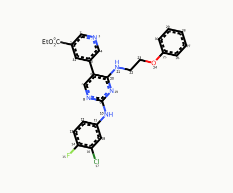 CCOC(=O)c1cncc(-c2cnc(Nc3ccc(F)c(Cl)c3)nc2NCCOc2ccccc2)c1